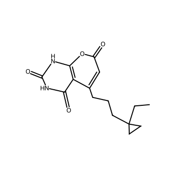 CCC1(CCCc2cc(=O)oc3[nH]c(=O)[nH]c(=O)c23)CC1